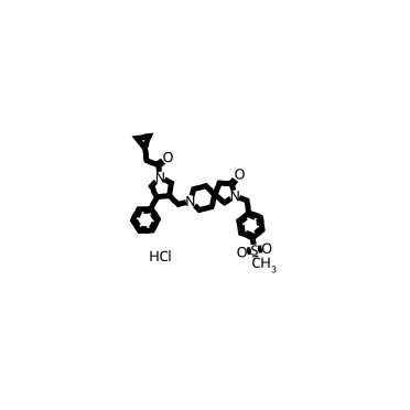 CS(=O)(=O)c1ccc(CN2CC3(CCN(CC4CN(C(=O)CC5CC5)CC4c4ccccc4)CC3)CC2=O)cc1.Cl